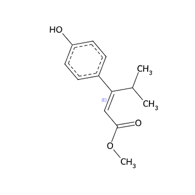 COC(=O)/C=C(/c1ccc(O)cc1)C(C)C